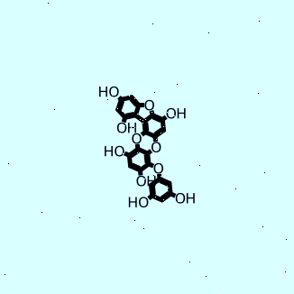 Oc1cc(O)cc(Oc2c(O)cc(O)c3c2Oc2cc(O)c4oc5cc(O)cc(O)c5c4c2O3)c1